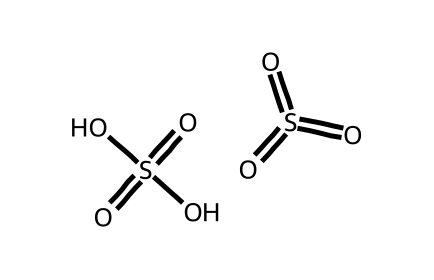 O=S(=O)(O)O.O=S(=O)=O